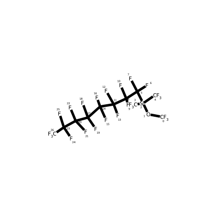 FC(F)(F)O[Si](C(F)(F)F)(C(F)(F)F)C(F)(F)C(F)(F)C(F)(F)C(F)(F)C(F)(F)C(F)(F)C(F)(F)C(F)(F)F